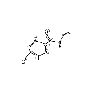 CC(C)NC(=O)c1cnc(Cl)cn1